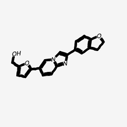 OCc1ccc(-c2ccc3nc(-c4ccc5c(c4)CCO5)cn3c2)o1